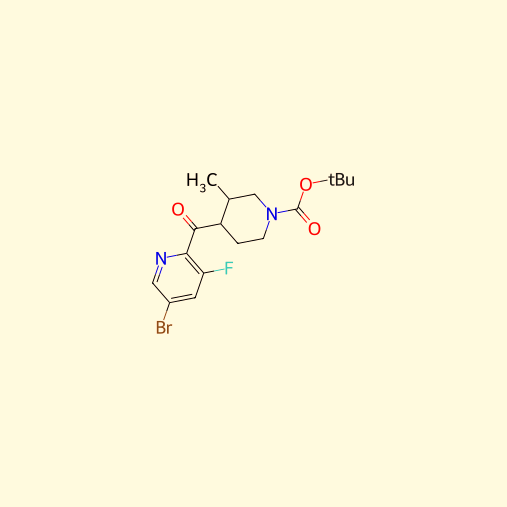 CC1CN(C(=O)OC(C)(C)C)CCC1C(=O)c1ncc(Br)cc1F